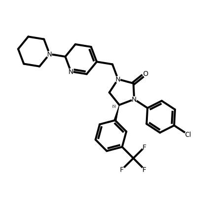 O=C1N(CC2=CCC(N3CCCCC3)N=C2)C[C@H](c2cccc(C(F)(F)F)c2)N1c1ccc(Cl)cc1